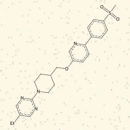 CCc1cnc(N2CCC(COc3ccc(-c4ccc(S(C)(=O)=O)cc4)nc3)CC2)nc1